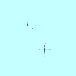 CC(O)C[N+](C)(C)C(C)(C)C[N+](C)(C)C(C)(C)CO